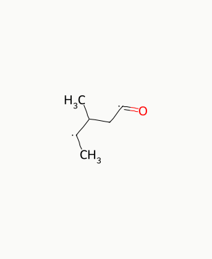 C[CH]C(C)C[C]=O